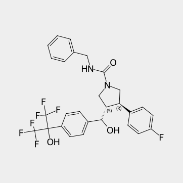 O=C(NCc1ccccc1)N1C[C@@H](c2ccc(F)cc2)[C@H](C(O)c2ccc(C(O)(C(F)(F)F)C(F)(F)F)cc2)C1